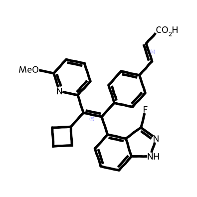 COc1cccc(/C(=C(\c2ccc(/C=C/C(=O)O)cc2)c2cccc3[nH]nc(F)c23)C2CCC2)n1